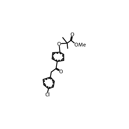 COC(=O)C(C)(C)Oc1ccc(C(=O)Cc2ccc(Cl)cc2)cc1